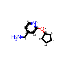 NCc1ccnc(OC2CCCC2)c1